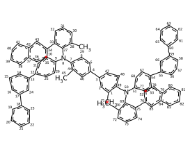 Cc1cc(-c2ccc(N(c3ccc(-c4cccc(-c5ccccc5)c4)cc3)c3c(C)cccc3-c3ccc4ccccc4c3)c(C)c2)ccc1N(c1ccc(-c2cccc(-c3ccccc3)c2)cc1)c1c(C)cccc1-c1ccc2ccccc2c1